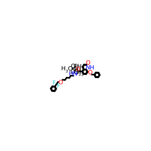 CC(C)(C)[Si](C)(C)O[C@@H](CNCCCCCCOCC(F)(F)c1ccccc1)c1ccc(OCc2ccccc2)c2[nH]c(=O)ccc12